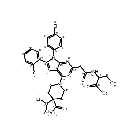 CCN(C)C1(C(N)=O)CCN(c2nc(CC(=O)NC(CO)C(N)=O)nc3c2nc(-c2ccccc2Cl)n3-c2ccc(Cl)cc2)CC1